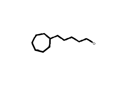 [O]CCCCCC1CCCCCC1